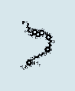 CC(C)CCC[C@@H](C)[C@H]1CCC2C3CC=C4CC(Oc5ccc(C(=O)C=Cc6ccc(OCCCCCCOc7ccc(N)cc7N)cc6)cc5)CC[C@]4(C)C3CC[C@@]21C